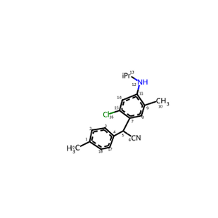 Cc1ccc(C(C#N)c2cc(C)c(NC(C)C)cc2Cl)cc1